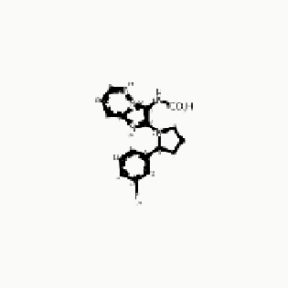 O=C(O)Nc1c(N2CCCC2c2cccc(F)c2)nc2cccnn12